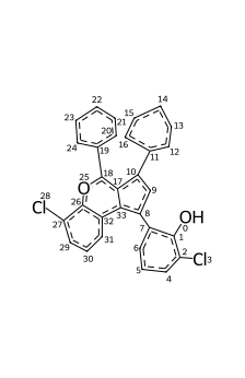 Oc1c(Cl)cccc1-c1cc(-c2ccccc2)c2c(-c3ccccc3)oc3c(Cl)cccc3c1-2